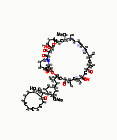 CO[C@H]1C[C@@H]2CC[C@@H](C)[C@@](O)(O2)C(=O)C(=O)N2CCCC[C@H]2C(=O)O[C@H]([C@H](C)C[C@@H]2CC[C@@H](OC3(CC(=O)O)CCCCCCCCCCC3)[C@H](OC)C2)CC(=O)[C@H](C)/C=C(\C)[C@@H](O)CC(=O)[C@H](C)C[C@H](C)/C=C/C=C/C=C/1C